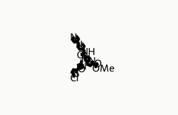 COC(=O)c1ccc2c(cc(C(=O)NC3CCN(c4ccncc4)CC3)n2Cc2cc(-c3ccc(Cl)s3)on2)n1